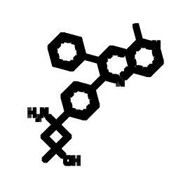 Cc1nccc2nc(-c3ccc(C4(N)CC(C)(O)C4)cc3)c(-c3ccccc3)cc12